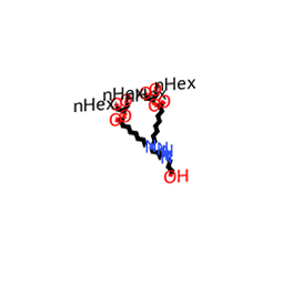 CCCCCCOCC(COCCCCCC)OC(=O)CCCCCCCN(CCCCCCCC(=O)OC(COCCCCCC)COCCCCCC)Cc1cn(CCCO)nn1